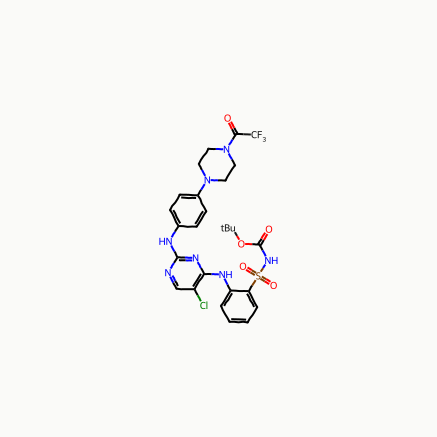 CC(C)(C)OC(=O)NS(=O)(=O)c1ccccc1Nc1nc(Nc2ccc(N3CCN(C(=O)C(F)(F)F)CC3)cc2)ncc1Cl